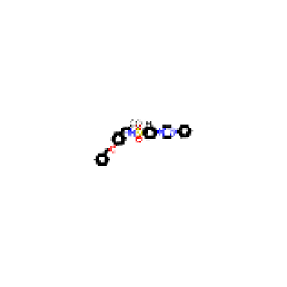 O=C(O)C(Cc1ccc(OCc2ccccc2)cc1)NS(=O)(=O)c1ccc(N2CCN(c3ccccc3)CC2)cc1